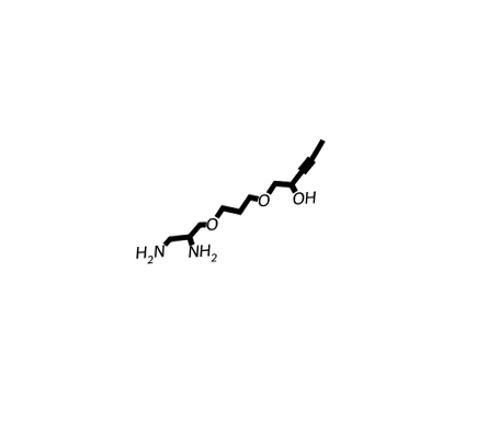 CC#CC(O)COCCCOCC(N)CN